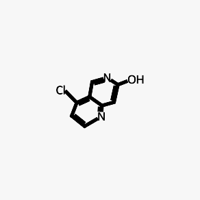 Oc1cc2nccc(Cl)c2cn1